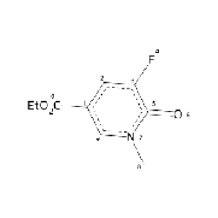 CCOC(=O)c1cc(F)c(=O)n(C)c1